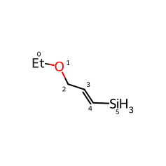 CCOCC=C[SiH3]